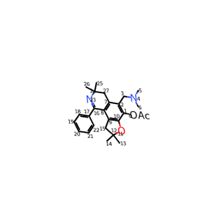 CC(=O)Oc1c(CN(C)C)c2c(c3c1OC(C)(C)C3)C(c1ccccc1)=NC(C)(C)C2